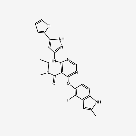 CCN(C)C(=O)c1c(Nc2cc(-c3ccco3)[nH]n2)ncnc1Oc1ccc2[nH]c(C)cc2c1F